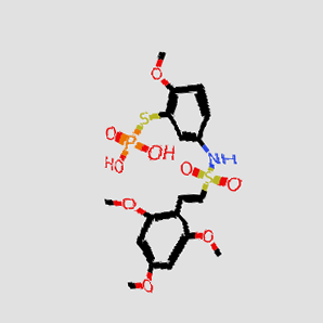 COc1cc(OC)c(/C=C/S(=O)(=O)Nc2ccc(OC)c(SP(=O)(O)O)c2)c(OC)c1